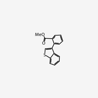 COC(=O)c1ccccc1-c1csc2ccccc12